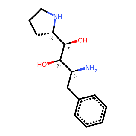 N[C@@H](Cc1ccccc1)[C@@H](O)[C@H](O)[C@@H]1CCCN1